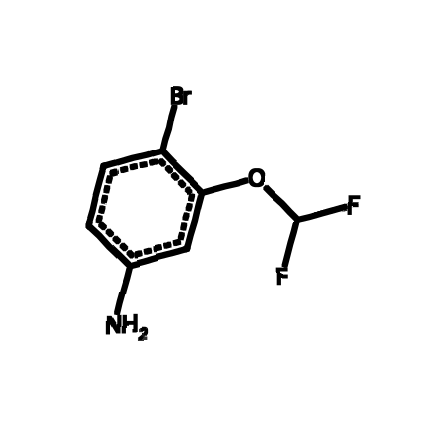 Nc1ccc(Br)c(OC(F)F)c1